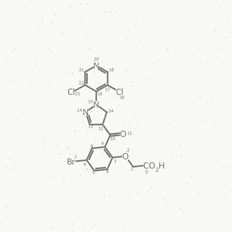 O=C(O)COc1ccc(Br)cc1C(=O)C1C=NN(c2c(Cl)cncc2Cl)C1